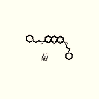 Cl.Cl.Cl.c1cc2cc3ccc(OCCN4CCCCC4)cc3nc2cc1OCCN1CCCCC1